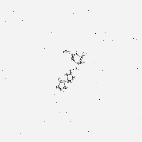 CCCc1cc(=O)[nH]c(SCc2noc(-c3snnc3C)n2)n1